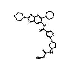 CC(C)(C)OC(=O)N[C@H]1CCN(c2nc(C(=O)Nc3cc4oc(N5CCOCC5)nc4nc3N3CCCCC3)co2)C1